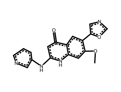 COc1cc2[nH]c(Nc3cccnc3)cc(=O)c2cc1-c1cnco1